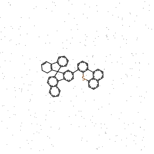 C1=CC2=C(CC1)C1(c3ccccc32)c2cc(-c3cccc4c3Sc3cccc5cccc-4c35)ccc2-c2c1ccc1ccccc21